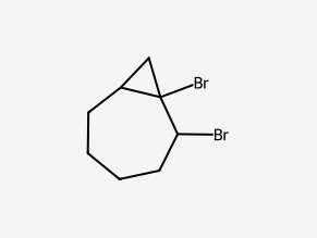 BrC1CCCCC2CC12Br